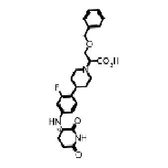 O=C1CC[C@H](Nc2ccc(C3CCN(C(COCc4ccccc4)C(=O)O)CC3)c(F)c2)C(=O)N1